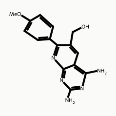 COc1ccc(-c2nc3nc(N)nc(N)c3cc2CO)cc1